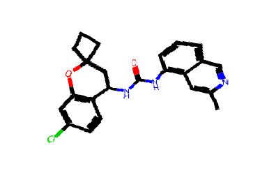 Cc1cc2c(NC(=O)NC3CC4(CCC4)Oc4cc(Cl)ccc43)cccc2cn1